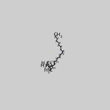 CCCCCCCC/C=C\CCCCCCC(CC)(CC)C(N)=O